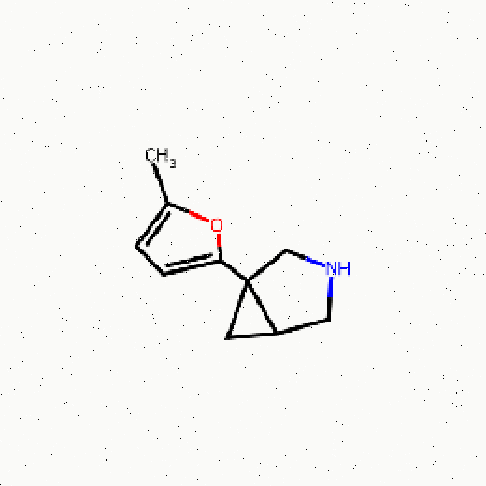 Cc1ccc(C23CNCC2C3)o1